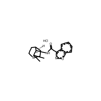 CC1(C)[C@H](NC(=O)c2noc3ccccc23)C2CCN1CC2.Cl